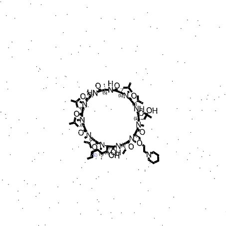 C/C=C/C[C@@H](C)[C@@H](O)[C@H]1C(=O)N[C@@H](CC)C(=O)N(C)[C@H](COCCN2CCCCC2)C(=O)N(C)[C@@H](CC(C)(C)O)C(=O)N[C@@H](C(C)C)C(=O)N(C)[C@@H](CC(C)C)C(=O)N[C@@H](C)C(=O)N[C@H](C)C(=O)N(C)[C@@H](CC(C)C)C(=O)N(C)[C@@H](CC(C)C)C(=O)N(C)[C@@H](C(C)C)C(=O)N1C